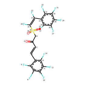 O=C(/C=C/c1c(F)c(F)c(F)c(F)c1F)CS(=O)(=O)/C(F)=C(/F)c1c(F)c(F)c(F)c(F)c1F